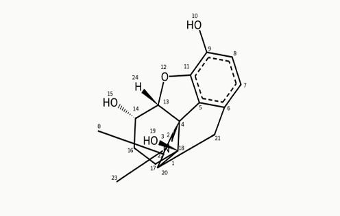 CC1CC[C@]23c4c5ccc(O)c4O[C@H]2[C@@H](O)CC[C@@]3(O)C(C5)N1C